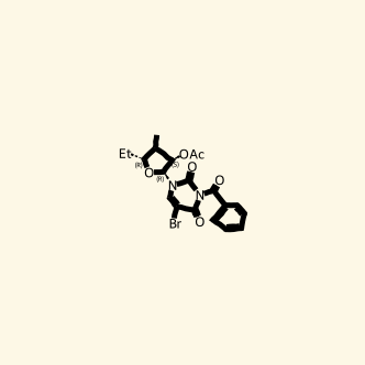 CC[C@H]1O[C@@H](n2cc(Br)c(=O)n(C(=O)c3ccccc3)c2=O)[C@@H](OC(C)=O)C1C